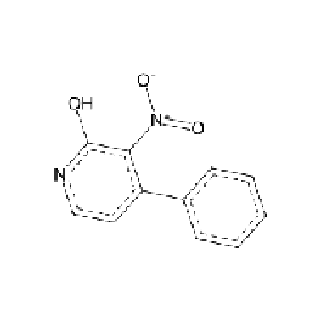 O=[N+]([O-])c1c(-c2ccccc2)ccnc1O